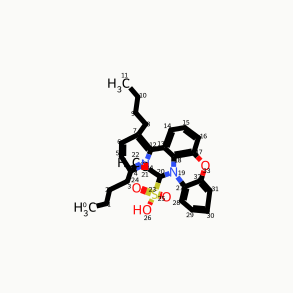 CCCCc1ccc(CCCC)c(-c2cccc3c2N(C(CC)S(=O)(=O)O)c2ccccc2O3)n1